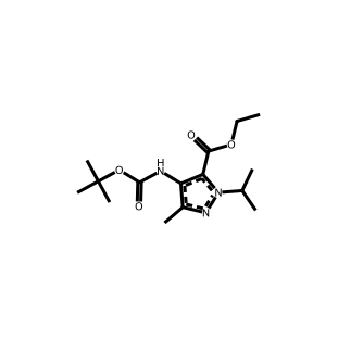 CCOC(=O)c1c(NC(=O)OC(C)(C)C)c(C)nn1C(C)C